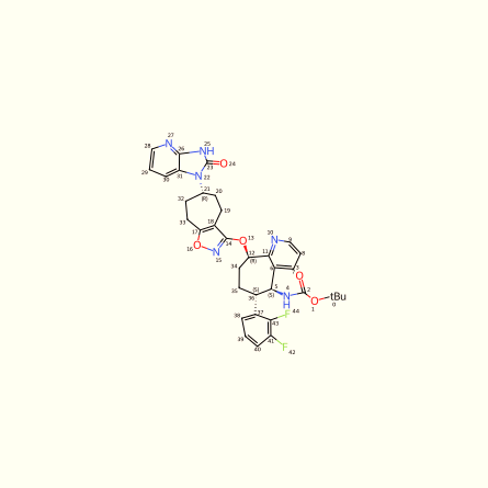 CC(C)(C)OC(=O)N[C@@H]1c2cccnc2[C@H](Oc2noc3c2CC[C@@H](n2c(=O)[nH]c4ncccc42)CC3)CC[C@H]1c1cccc(F)c1F